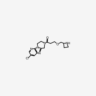 O=C(CCOCC1CCN1)N1CCn2c(nc3cc(Cl)cnc32)C1